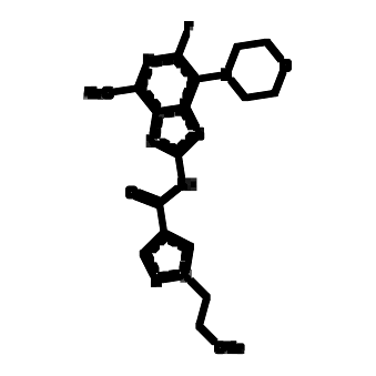 COCCn1cc(C(=O)Nc2nc3c(OC)nc(F)c(N4CCOCC4)c3s2)cn1